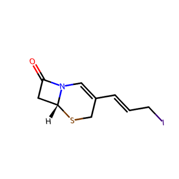 O=C1C[C@H]2SCC(/C=C/CI)=CN12